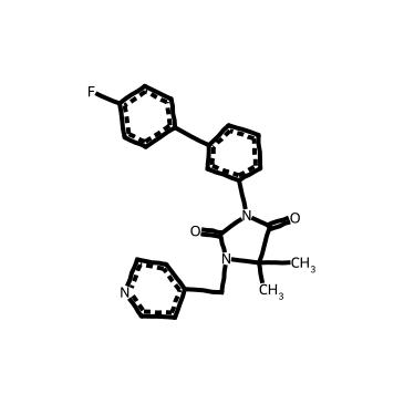 CC1(C)C(=O)N(c2cccc(-c3ccc(F)cc3)c2)C(=O)N1Cc1ccncc1